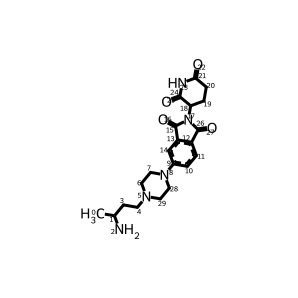 CC(N)CCN1CCN(c2ccc3c(c2)C(=O)N(C2CCC(=O)NC2=O)C3=O)CC1